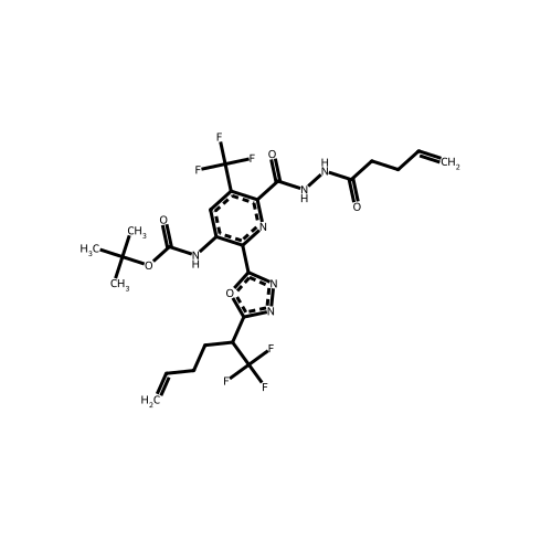 C=CCCC(=O)NNC(=O)c1nc(-c2nnc(C(CCC=C)C(F)(F)F)o2)c(NC(=O)OC(C)(C)C)cc1C(F)(F)F